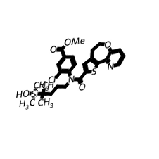 COC(=O)c1ccc(N(CCCC(C)(C)[Si](C)(C)O)C(=O)c2cc3c(s2)-c2ncccc2OCC3)c(Cl)c1